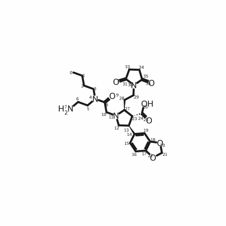 CCCCN(CCN)C(=O)CN1C[C@H](c2ccc3c(c2)OCO3)[C@@H](C(=O)O)[C@@H]1CCN1C(=O)CCC1=O